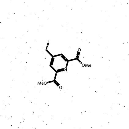 COC(=O)c1cc(CI)cc(C(=O)OC)n1